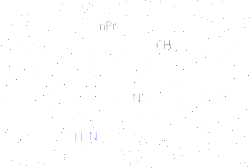 CCCc1sc(N)nc1C